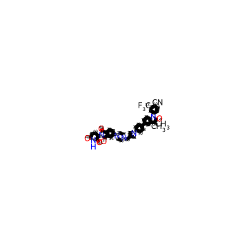 CC1(C)C(=O)N(c2ccc(C#N)c(C(F)(F)F)c2)c2ccc(-c3ccc(N4CC(CN5CCN(c6ccc7c(c6)C(=O)N(C6CCC(=O)NC6=O)C7=O)CC5)C4)cc3)cc21